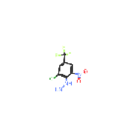 NNc1c(Cl)cc(C(F)(F)F)cc1[N+](=O)[O-]